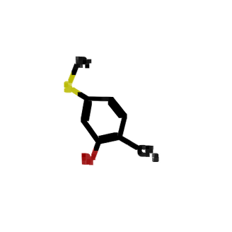 CC(C)Sc1ccc(C(F)(F)F)c(Br)c1